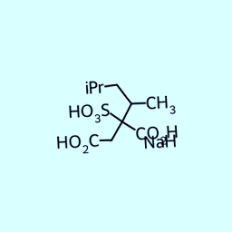 CC(C)CC(C)C(CC(=O)O)(C(=O)O)S(=O)(=O)O.[NaH]